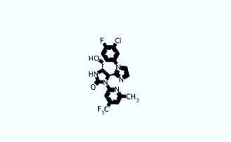 Cc1cc(C(F)(F)F)cc(N2C(=O)N[C@H](CO)[C@H]2c2nccn2-c2ccc(F)c(Cl)c2)n1